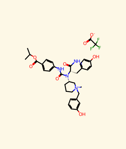 CC(C)OC(=O)c1ccc(NC(=O)N([C@H]2CCC[N+](C)(Cc3cccc(O)c3)C2)[C@@H](Cc2ccc(O)cc2)C(N)=O)cc1.O=C([O-])C(F)(F)F